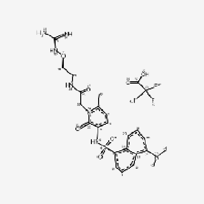 Cc1ccc(NS(=O)(=O)c2cccc3c(N(C)C)cccc23)c(=O)n1CC(=O)NCCONC(=N)N.O=C(O)C(F)(F)F